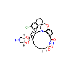 C[C@@H]1[C@@H](C)CCCC2([C@H]3O[C@H]4CNC[C@H]4O3)C3C[C@@H](CN4C[C@@]5(CCCc6cc(Cl)ccc65)COc5ccc(cc54)C(=O)NS1(=O)=O)[C@@H]32